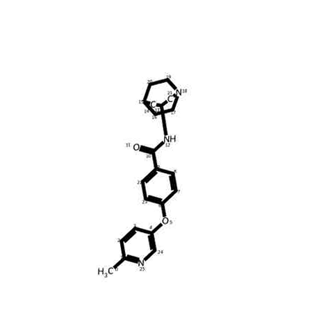 Cc1ccc(Oc2ccc(C(=O)NC3CC4CCN(CC4)C3)cc2)cn1